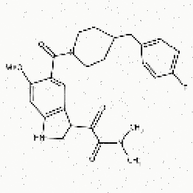 COc1cc2c(cc1C(=O)N1CCC(Cc3ccc(F)cc3)CC1)C(C(=O)C(=O)N(C)C)CN2